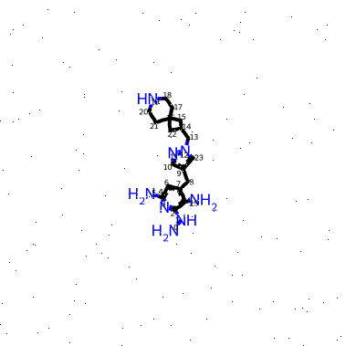 NNc1nc(N)cc(Cc2cnn(CC3CC4(CCNCC4)C3)c2)c1N